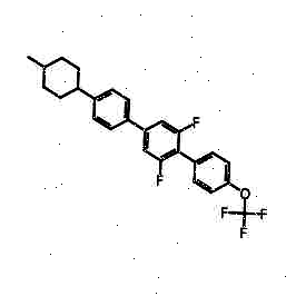 CC1CCC(c2ccc(-c3cc(F)c(-c4ccc(OC(F)(F)F)cc4)c(F)c3)cc2)CC1